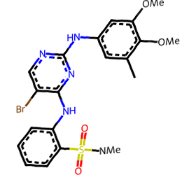 CNS(=O)(=O)c1ccccc1Nc1nc(Nc2cc(C)c(OC)c(OC)c2)ncc1Br